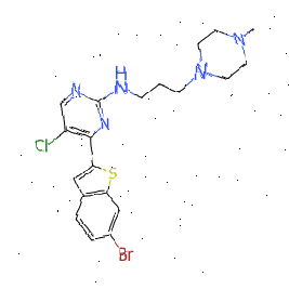 CN1CCN(CCCNc2ncc(Cl)c(-c3cc4ccc(Br)cc4s3)n2)CC1